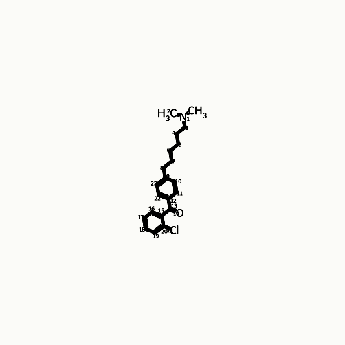 CN(C)CCCCCCc1ccc(C(=O)c2ccccc2Cl)cc1